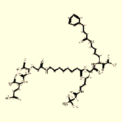 CC(C)(C)OC(=O)NCCCC[C@H](NC(=O)CCCCCCCNC(=O)CC[C@H](NC(=O)N[C@@H](CCC(=O)O)C(=O)O)C(=O)O)C(=O)N[C@@H](CCCCNC(=O)CCCc1ccccc1)C(=O)C(=O)O